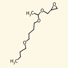 CCCCOCCCCOC(C)OCC1CO1